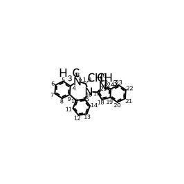 C[C@H]1N(C)c2ccccc2-c2ccccc2N1c1cc2ccccc2n1C